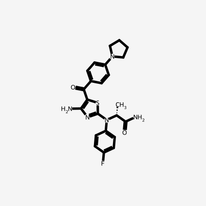 C[C@H](C(N)=O)N(c1ccc(F)cc1)c1nc(N)c(C(=O)c2ccc(N3CCCC3)cc2)s1